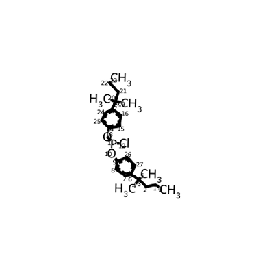 CCCC(C)(C)c1ccc(OP(Cl)Oc2ccc(C(C)(C)CCC)cc2)cc1